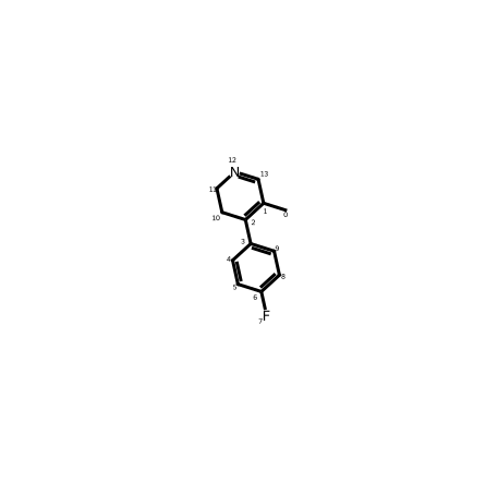 CC1=C(c2ccc(F)cc2)CCN=C1